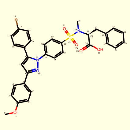 COc1ccc(-c2cc(-c3ccc(Br)cc3)n(-c3ccc(S(=O)(=O)N(C)[C@@H](Cc4ccccc4)C(=O)O)cc3)n2)cc1